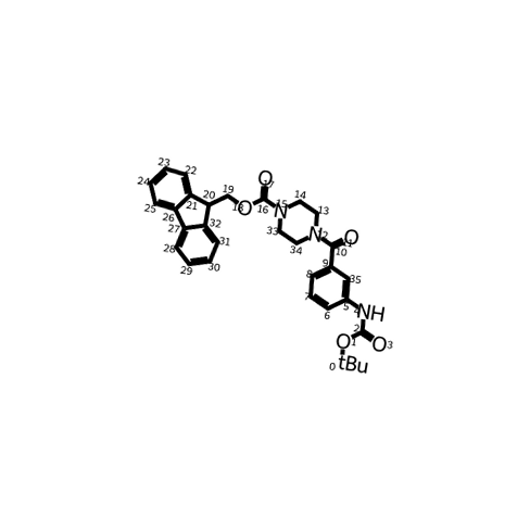 CC(C)(C)OC(=O)Nc1cccc(C(=O)N2CCN(C(=O)OCC3c4ccccc4-c4ccccc43)CC2)c1